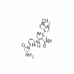 Cn1ccc2c(-c3ncc(Nc4cccc(N5CC(N)CC5=O)n4)c4c3CNC4=O)ccnc21